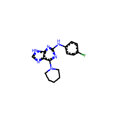 Fc1ccc(Nc2nc(N3CCCCC3)c3nc[nH]c3n2)cc1